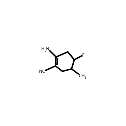 CC1CC(C#N)=C(N)CC1F